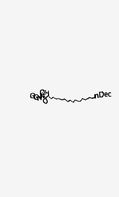 CCCCCCCCCCCCCCCCCCCCCCCCCCC(=O)N(O)N=C=O